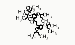 CCCC(CC)Oc1ccc(OC(CC)CCC)c(C=CC(=O)c2cc(OC(CC)CCC)cc(OC(CC)CCC)c2OC(CC)CCC)c1